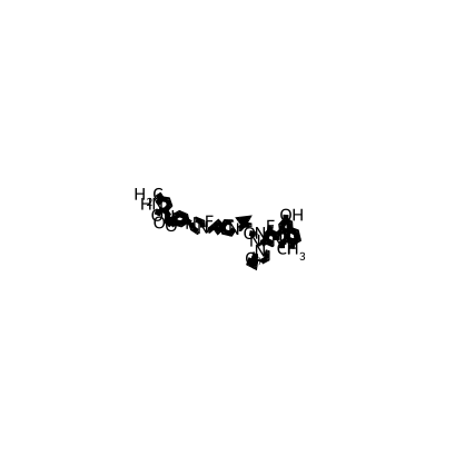 C=C1CCC(n2c(=O)oc3cc(N4CCN(CC5(F)CC6(CCN(CC7(COc8nc(N9CCC[C@]%10(CCO%10)C9)c9cnc(-c%10cc(O)cc%11ccc(F)c(CC)c%10%11)c(F)c9n8)CC7)CC6)C5)CC4)ccc32)C(=O)N1